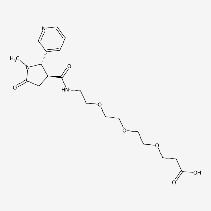 CN1C(=O)C[C@H](C(=O)NCCOCCOCCOCCC(=O)O)[C@H]1c1cccnc1